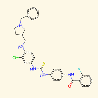 O=C(Nc1ccc(NC(=S)Nc2ccc(NCC3CCN(Cc4ccccc4)C3)c(Cl)c2)cc1)c1ccccc1F